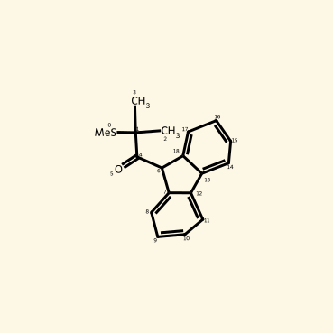 CSC(C)(C)C(=O)C1c2ccccc2-c2ccccc21